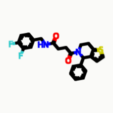 O=C(CCC(=O)N1CCc2sccc2C1c1ccccc1)NCc1ccc(F)c(F)c1